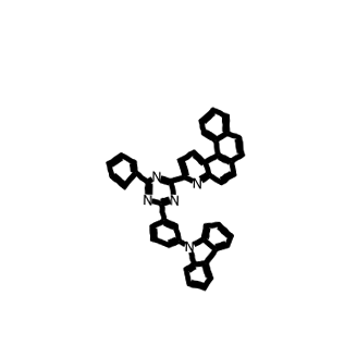 c1ccc(-c2nc(-c3cccc(-n4c5ccccc5c5ccccc54)c3)nc(-c3ccc4c(ccc5ccc6ccccc6c54)n3)n2)cc1